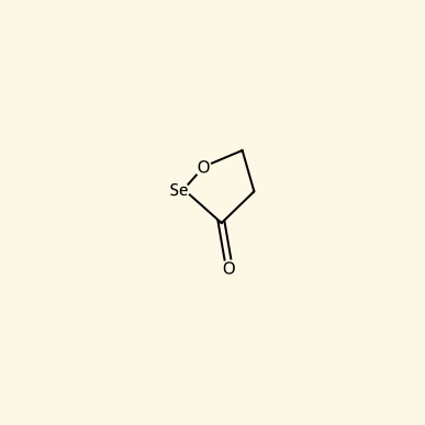 O=C1CCO[Se]1